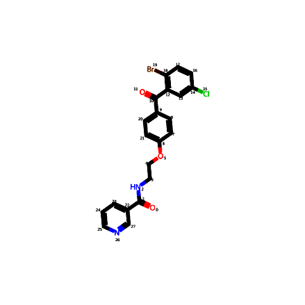 O=C(NCCOc1ccc(C(=O)c2cc(Cl)ccc2Br)cc1)c1cccnc1